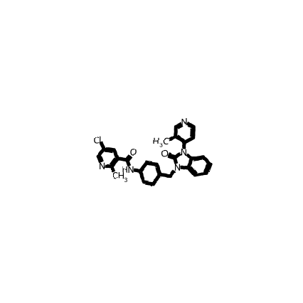 Cc1cnccc1-n1c(=O)n(CC2CCC(NC(=O)c3cc(Cl)cnc3C)CC2)c2ccccc21